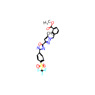 COC(=O)c1cccc(Cn2nc(-c3nc(-c4ccc(S(=O)(=O)C(F)(F)F)cc4)no3)cc2C)c1